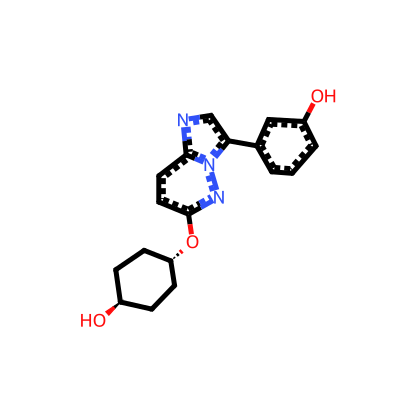 Oc1cccc(-c2cnc3ccc(O[C@H]4CC[C@H](O)CC4)nn23)c1